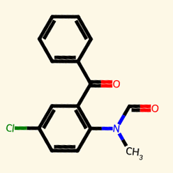 CN(C=O)c1ccc(Cl)cc1C(=O)c1ccccc1